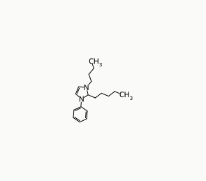 CCCCCC1N(CCCC)C=CN1c1ccccc1